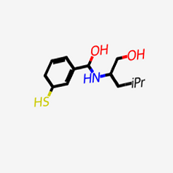 CC(C)CC(CO)NC(O)C1=CC(S)CC=C1